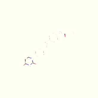 CC(C)(C)OC(=O)N[C@H]1CC[C@H](N(C[C@H]2CC[C@H](n3ccc(=O)[nH]c3=O)CC2)C(=O)O)CC1